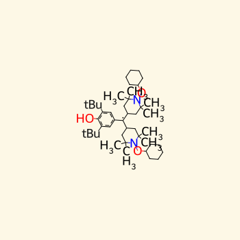 CC(C)(C)c1cc([C](C2CC(C)(C)N(OC3CCCCC3)C(C)(C)C2)C2CC(C)(C)N(OC3CCCCC3)C(C)(C)C2)cc(C(C)(C)C)c1O